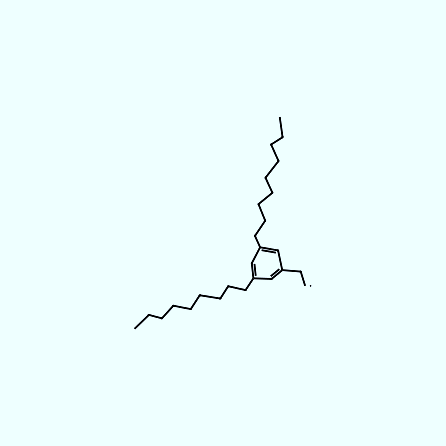 [CH2]Cc1cc(CCCCCCCCC)cc(CCCCCCCCC)c1